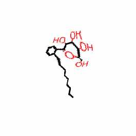 CCCCCCCCCc1ccccc1[C]1O[C@H](CO)[C@@H](O)[C@H](O)[C@H]1O